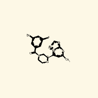 Cc1cc([C@@H]2CN(C(=O)c3cc(F)cc(Br)c3)CCO2)n2ncnc2n1